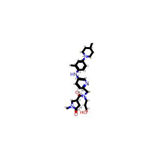 Cc1cc(N2CCC(C)CC2)ccc1Nc1ccc(CN(CCCO)C(=O)C2CC(=O)N(C)C2)nc1